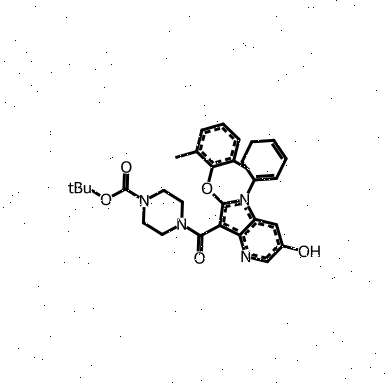 Cc1cccc(C)c1Oc1c(C(=O)N2CCN(C(=O)OC(C)(C)C)CC2)c2ncc(O)cc2n1C1=CC=CCC1